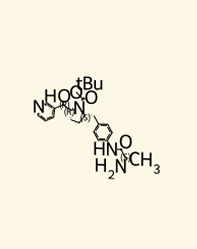 C[C@H](N)C(=O)Nc1ccc(C[C@@H]2CC[C@H]([C@H](O)c3cccnc3)N2C(=O)OC(C)(C)C)cc1